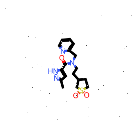 Cc1cc(C(=O)N(CCC2CCS(=O)(=O)C2)Cc2ccccn2)[nH]n1